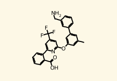 Cc1cc(Oc2cc(C(F)(F)F)cc(-c3ccccc3C(=O)O)n2)cc(-c2cccc(CN)c2)c1